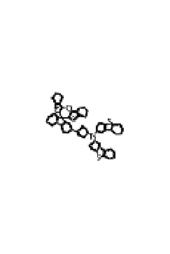 c1ccc2c(c1)-c1ccc(-c3ccc(N(c4ccc5sc6ccccc6c5c4)c4ccc5sc6ccccc6c5c4)cc3)cc1C21c2ccc3ccccc3c2Oc2c1ccc1ccccc21